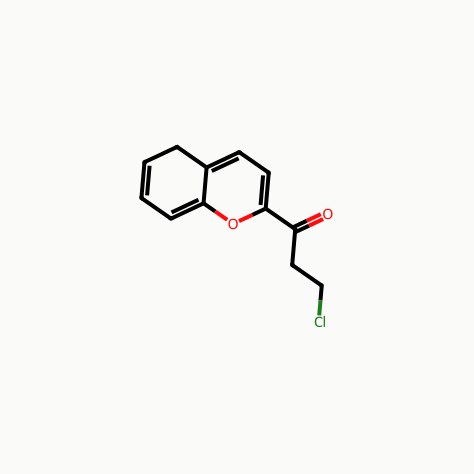 O=C(CCCl)C1=CC=C2CC=CC=C2O1